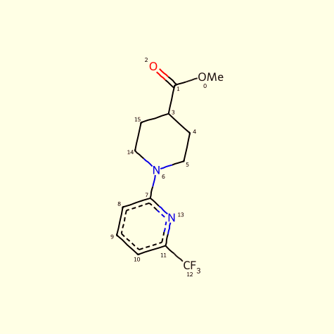 COC(=O)C1CCN(c2cccc(C(F)(F)F)n2)CC1